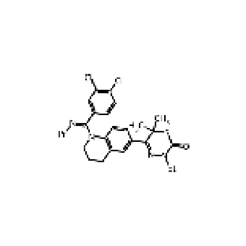 CCN1N=C(c2ccc3c(c2)CCCN3/C(=N\C(C)C)c2ccc(Cl)c(Cl)c2)C(C)(C)SC1=O